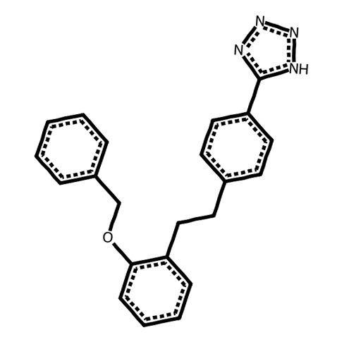 c1ccc(COc2ccccc2CCc2ccc(-c3nnn[nH]3)cc2)cc1